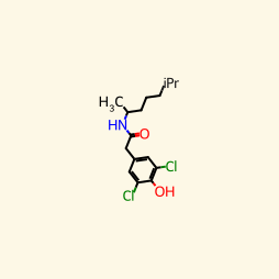 CC(C)CCCC(C)NC(=O)Cc1cc(Cl)c(O)c(Cl)c1